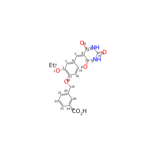 CCOc1cc(C=C2C(=O)NC(=O)NC2=O)ccc1OCc1cccc(C(=O)O)c1